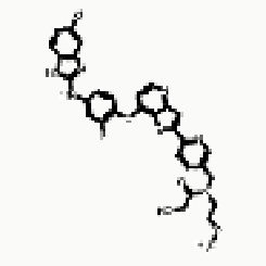 COCCN(Cc1ccc(-c2cc3nccc(Oc4ccc(Nc5nc6cc(Cl)ccc6[nH]5)cc4F)c3s2)nc1)C(=O)CO